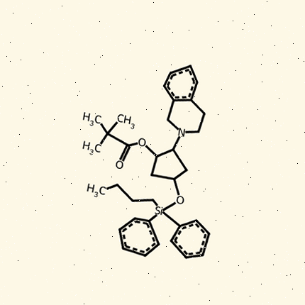 CCCC[Si](OC1CC(OC(=O)C(C)(C)C)C(N2CCc3ccccc3C2)C1)(c1ccccc1)c1ccccc1